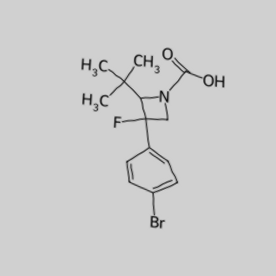 CC(C)(C)C1N(C(=O)O)CC1(F)c1ccc(Br)cc1